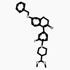 COC(OC)C1CCN(c2ccc(C3=C(Br)CCc4cc(OCc5ccccc5)ccc43)cc2F)CC1